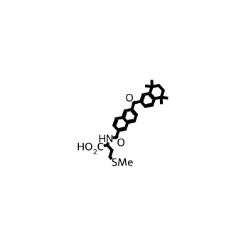 CSCCC(NC(=O)c1ccc2cc(C(=O)c3ccc4c(c3)C(C)(C)CCC4(C)C)ccc2c1)C(=O)O